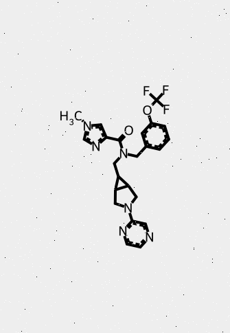 Cn1cnc(C(=O)N(Cc2cccc(OC(F)(F)F)c2)CC2C3CN(c4cnccn4)CC23)c1